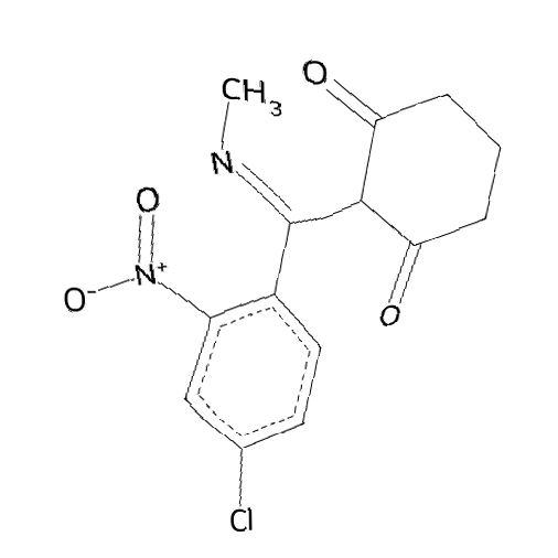 CN=C(c1ccc(Cl)cc1[N+](=O)[O-])C1C(=O)CCCC1=O